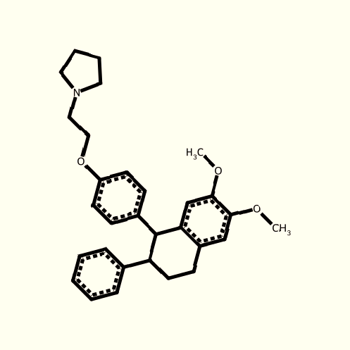 COc1cc2c(cc1OC)C(c1ccc(OCCN3CCCC3)cc1)C(c1ccccc1)CC2